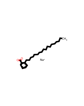 CCCCCCCCCCCCCCCCCCc1ccccc1C(=O)[O-].[Na+]